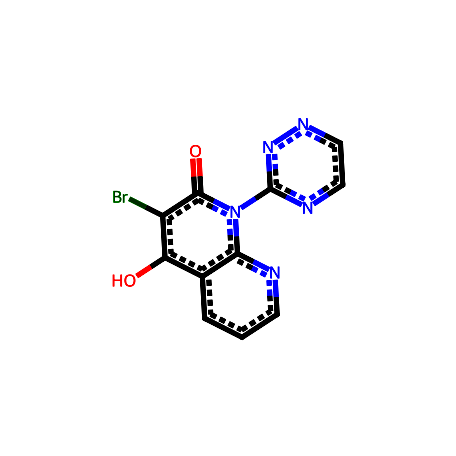 O=c1c(Br)c(O)c2cccnc2n1-c1nccnn1